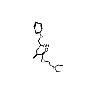 C=C(CC(O)COc1ccccc1)C(=O)OCCN(CC)CC